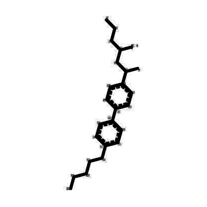 CC[CH]C(F)CC(C)c1ccc(-c2ccc(CCCCC)cc2)cc1